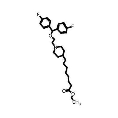 CCOC(=O)CCCCCCCC1CCN(CCOC(c2ccc(F)cc2)c2ccc(F)cc2)CC1